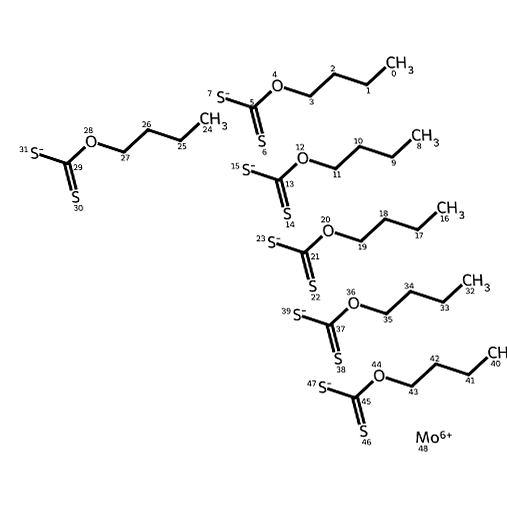 CCCCOC(=S)[S-].CCCCOC(=S)[S-].CCCCOC(=S)[S-].CCCCOC(=S)[S-].CCCCOC(=S)[S-].CCCCOC(=S)[S-].[Mo+6]